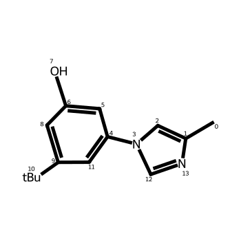 Cc1cn(-c2cc(O)cc(C(C)(C)C)c2)cn1